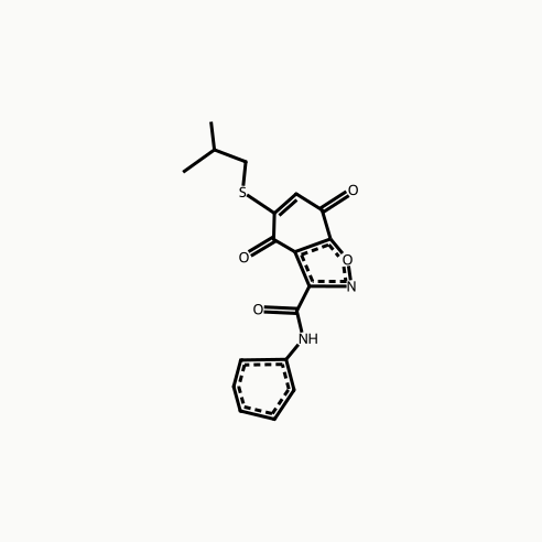 CC(C)CSC1=CC(=O)c2onc(C(=O)Nc3ccccc3)c2C1=O